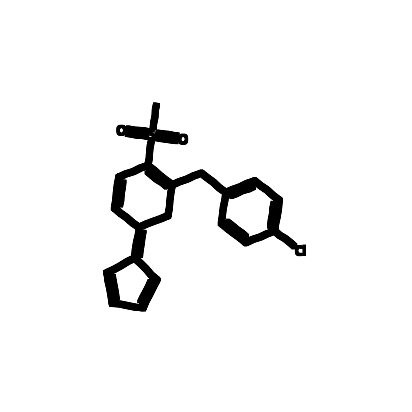 CS(=O)(=O)C1=C(Cc2ccc(Cl)cc2)CC(=C2C=CC=C2)C=C1